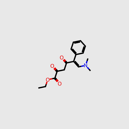 CCOC(=O)C(=O)CC(=O)/C(=C/N(C)C)c1ccccc1